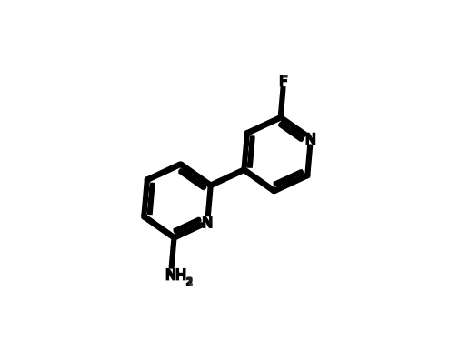 Nc1cccc(-c2ccnc(F)c2)n1